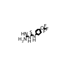 N=C(N)NC(=S)Nc1ccc(OC(F)(F)F)cc1